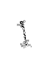 CC(C)(C)OC(=O)NCCOCCOCCOCC(=O)ON1C(=O)CCC1O